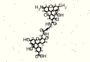 C=c1ccc2c(c1)Oc1cc(N)ccc1C=2c1c(Cl)cc(C(=O)NCC#CC(=O)NCc2c3oc4cc(O)ccc4c(-c4ccc(C(=O)O)cc4C(=O)O)c-3ccc2=O)c(Cl)c1C(=O)O